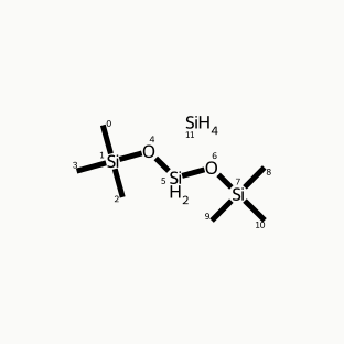 C[Si](C)(C)O[SiH2]O[Si](C)(C)C.[SiH4]